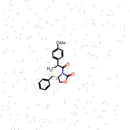 COc1ccc(C(C)C(=O)N2C(=O)OC[C@@H]2Cc2ccccc2)cc1